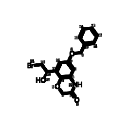 O=C1COc2c(cc(OCc3ccccc3)cc2[C@@H](O)CBr)N1